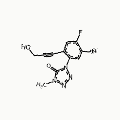 Cn1nnn(-c2cc(C(C)(C)C)c(F)cc2C#CCO)c1=O